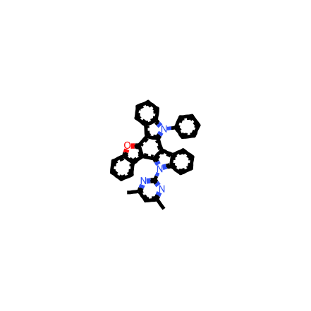 Cc1cc(C)nc(-n2c3ccccc3c3c4c(c5ccccc5n4-c4ccccc4)c4oc5ccccc5c4c32)n1